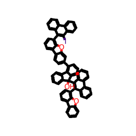 OC1(c2c(-c3cccc4c3oc3ccccc34)c3ccccc3c3ccccc23)c2ccccc2-c2c(-c3ccc4c(c3)oc3c(-c5c(I)c6ccccc6c6ccccc56)cccc34)cccc21